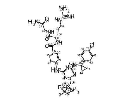 BC(B)(Oc1nc(Nc2ccc(C(=O)N[C@@H](CCCNC(=N)N)C(=O)NCC(N)=O)cc2)nc(NC2(c3ccc(Cl)cc3)CC2)n1)C(F)(F)F